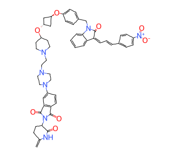 C=C1CCC(N2C(=O)c3ccc(N4CCN(CCN5CCC(O[C@H]6C[C@H](Oc7ccc(CN8C(=O)/C(=C\C=C\c9ccc([N+](=O)[O-])cc9)c9ccccc98)cc7)C6)CC5)CC4)cc3C2=O)C(=O)N1